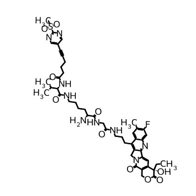 CC[C@@]1(O)C(=O)OCc2c1cc1n(c2=O)Cc2c-1nc1cc(F)c(C)cc1c2CCCNC(=O)CNC(=O)C(N)CCCCNC(=O)C(NC(=O)CCCC#Cc1cnc(S(C)(=O)=O)nc1)C(C)C